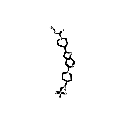 CC(C)(C)OC(=O)N1CCC(C2Cc3cc(N4CCC(NCS(C)(=O)=O)CC4)ncc3O2)CC1